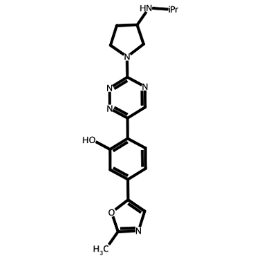 Cc1ncc(-c2ccc(-c3cnc(N4CCC(NC(C)C)C4)nn3)c(O)c2)o1